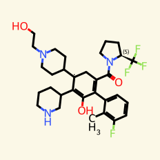 Cc1c(F)cccc1C1=C(C(=O)N2CCC[C@H]2C(F)(F)F)C[C](C2CCN(CCO)CC2)C(C2CCCNC2)=C1O